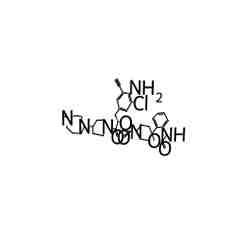 C#Cc1cc(C[C@@H](OC(=O)N2CCC3(CC2)OC(=O)Nc2ccccc23)C(=O)N2CCC(N3CCCN(C)CC3)CC2)cc(Cl)c1N